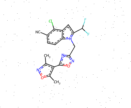 Cc1noc(C)c1-c1nc(Cn2c(C(F)F)cc3c(Cl)c(C#N)ccc32)no1